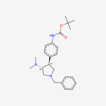 CN(C)[C@H]1CN(Cc2ccccc2)C[C@@H]1c1ccc(NC(=O)OC(C)(C)C)cc1